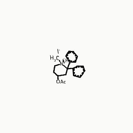 CC(=O)OC1CC[N+](C)(C)C(c2ccccc2)(c2ccccc2)C1.[I-]